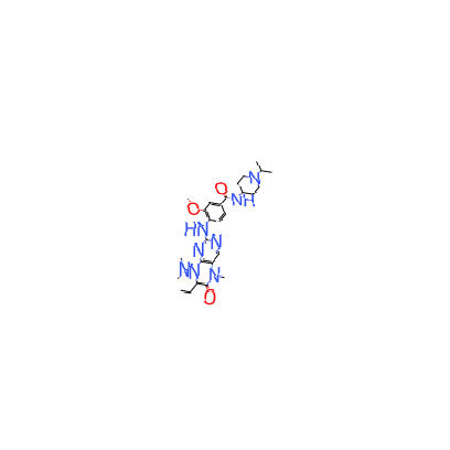 CCC1C(=O)N(C)c2cnc(Nc3ccc(C(=O)NC4CCN(C(C)C)CC4)cc3OC)nc2N1N(C)C